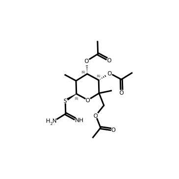 CC(=O)OCC1(C)O[C@@H](SC(=N)N)C(C)[C@H](OC(C)=O)[C@@H]1OC(C)=O